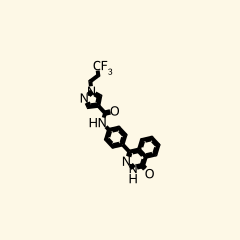 O=C(Nc1ccc(-c2n[nH]c(=O)c3ccccc23)cc1)c1cnn(CCC(F)(F)F)c1